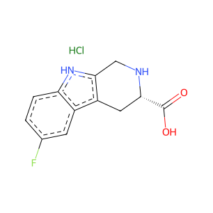 Cl.O=C(O)[C@@H]1Cc2c([nH]c3ccc(F)cc23)CN1